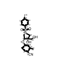 N#Cc1ccc(O[C@H]2CN(S(=O)(=O)c3ccc(I)cc3)C[C@@]2(O)CO)cc1F